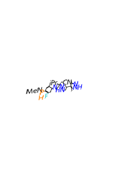 CNPc1cc(C(C)C)c(N2CC(CC#N)(N3CC(c4c(C)n[nH]c4C)CN3)C2)cc1F